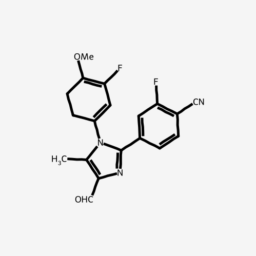 COC1=C(F)C=C(n2c(-c3ccc(C#N)c(F)c3)nc(C=O)c2C)CC1